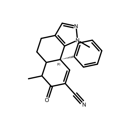 CC1C(=O)C(C#N)=C[C@]2(c3ccccc3)c3c(cnn3C)CCC12